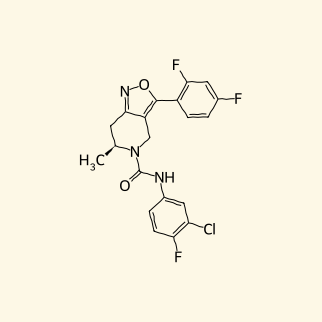 C[C@H]1Cc2noc(-c3ccc(F)cc3F)c2CN1C(=O)Nc1ccc(F)c(Cl)c1